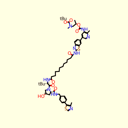 Cc1ncc(-c2ccc3nc(NC(=O)CCCCCCCCCCC(=O)N[C@H](C(=O)N4C[C@H](O)C[C@H]4C(=O)NCc4ccc(-c5scnc5C)cc4)C(C)(C)C)sc3c2)cc1NC(=O)OC(C)CN(C)C(=O)OC(C)(C)C